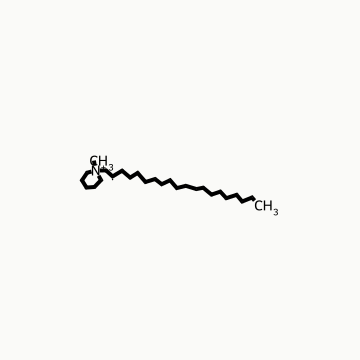 CCCCCCCCCCCCCCCCCC[CH]C[N+]1(C)CCCCC1